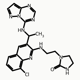 CC(Nc1ncnc2ccnn12)c1cc2cccc(Cl)c2nc1NCCN1CCNC1=O